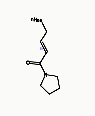 CCCCCCC/C=C/C(=O)N1CCCC1